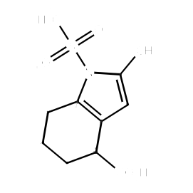 Cc1cc2c(n1S(C)(=O)=O)CCCC2C(=O)O